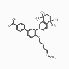 COCCOCOc1ccc(-c2ccc(C(=O)O)cc2)cc1-c1ccc2c(c1)C(C)(C)CCC2(C)C